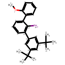 COc1ccccc1-c1cccc(-c2cc(C(C)(C)C)cc(C(C)(C)C)c2)c1P